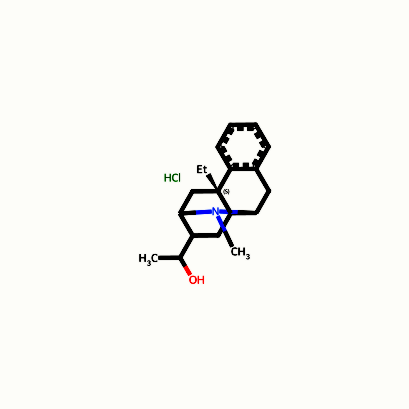 CC[C@]12CC3C(C(C)O)CC1C(Cc1ccccc12)N3C.Cl